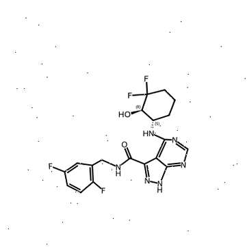 O=C(NCc1cc(F)ccc1F)c1n[nH]c2ncnc(N[C@H]3CCCC(F)(F)[C@@H]3O)c12